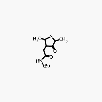 CC1SC(C)C(CC(=O)NC(C)(C)C)C1=O